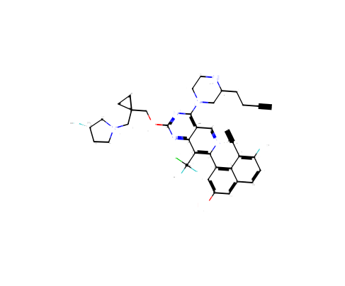 C#CCCC1CN(c2nc(OCC3(CN4CC[C@@H](F)C4)CC3)nc3c(C(F)(F)Cl)c(-c4cc(O)cc5ccc(F)c(C#C)c45)ncc23)CCN1